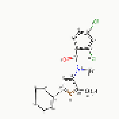 CC(C)N(C(=O)c1ccc(Cl)cc1Cl)c1cc(C2=CCCCC2)sc1C(=O)O